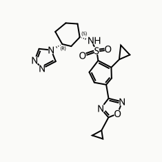 O=S(=O)(N[C@H]1CCC[C@@H](n2cnnc2)C1)c1ccc(-c2noc(C3CC3)n2)cc1C1CC1